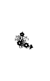 CC1=CCCC1NC(=O)Nc1ccc(Cl)c(S(=O)(=O)[C@H]2CC[C@H](N3CCC3)CC2)c1O